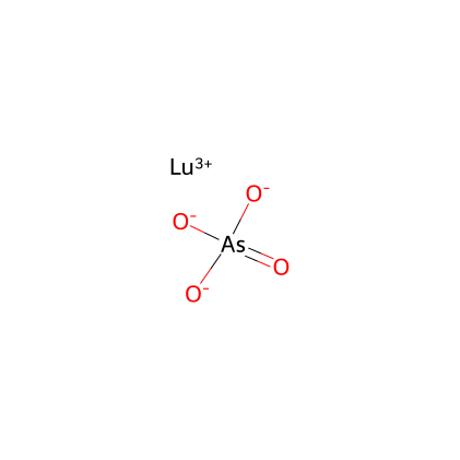 O=[As]([O-])([O-])[O-].[Lu+3]